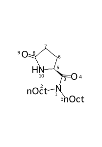 CCCCCCCCN(CCCCCCCC)C(=O)[C@@H]1CCC(=O)N1